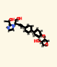 CC(O)c1nccn1C(C#Cc1ccc(-c2ccc(O[C@@H]3COC[C@H]3O)cc2)cc1)CO